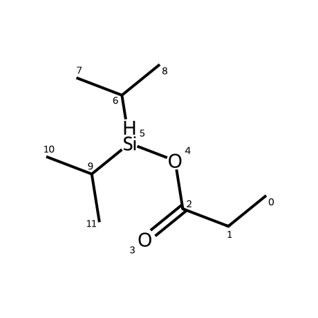 CCC(=O)O[SiH](C(C)C)C(C)C